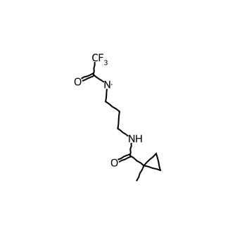 CC1(C(=O)NCCC[N]C(=O)C(F)(F)F)CC1